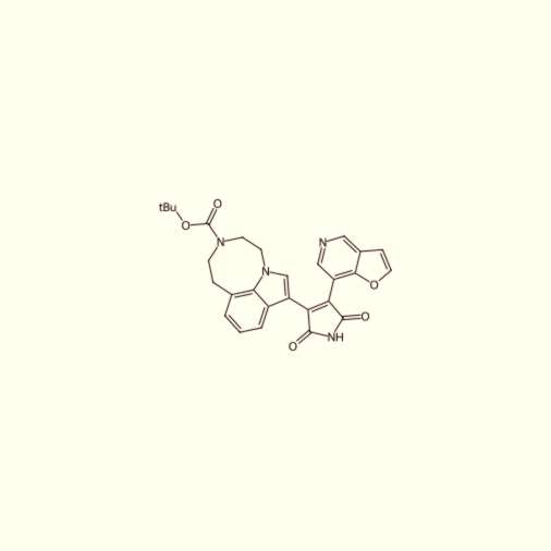 CC(C)(C)OC(=O)N1CCc2cccc3c(C4=C(c5cncc6ccoc56)C(=O)NC4=O)cn(c23)CC1